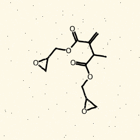 C=C(C(=O)OCC1CO1)C(C)C(=O)OCC1CO1